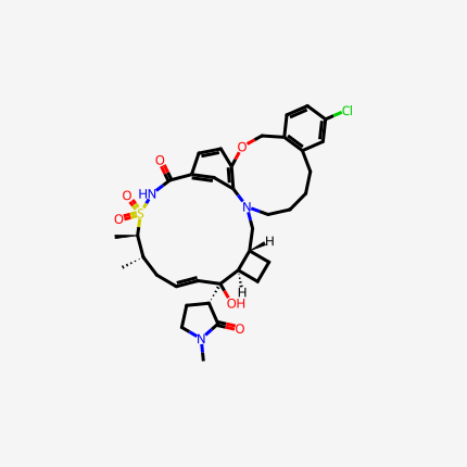 C[C@@H]1[C@@H](C)C/C=C/C(O)([C@H]2CCN(C)C2=O)[C@@H]2CC[C@H]2CN2CCCCc3cc(Cl)ccc3COc3ccc(cc32)C(=O)NS1(=O)=O